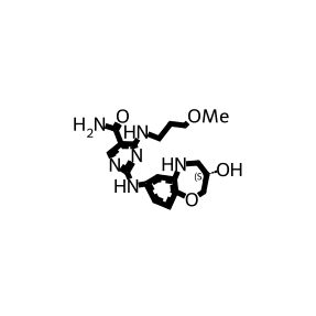 COCCCNc1nc(Nc2ccc3c(c2)NC[C@H](O)CO3)ncc1C(N)=O